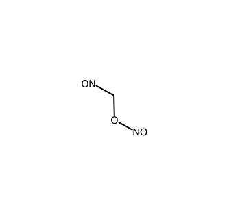 O=NCON=O